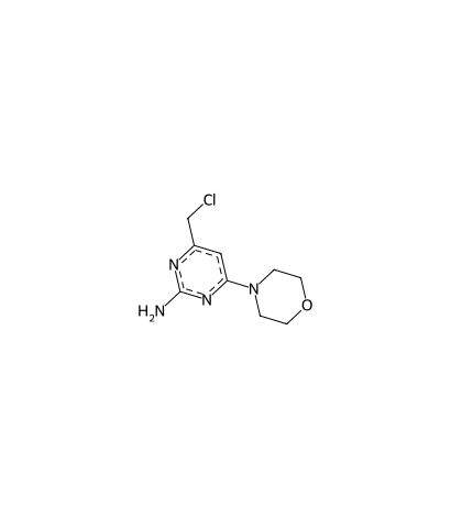 Nc1nc(CCl)cc(N2CCOCC2)n1